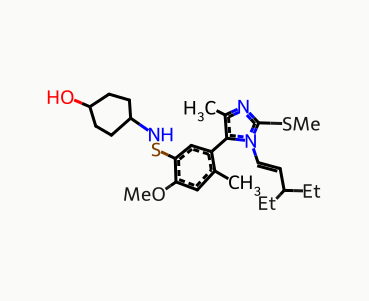 CCC(/C=C/n1c(SC)nc(C)c1-c1cc(SNC2CCC(O)CC2)c(OC)cc1C)CC